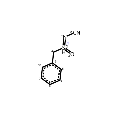 N#C/N=[SH](=O)/Cc1ccccc1